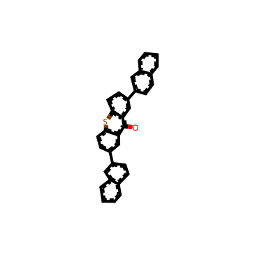 O=c1c2cc(-c3ccc4ccccc4c3)ccc2sc2ccc(-c3ccc4ccccc4c3)cc12